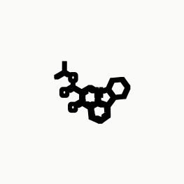 CC(C)OC(=O)c1cn2c3c(cccc3c1=O)C1CCCCC12